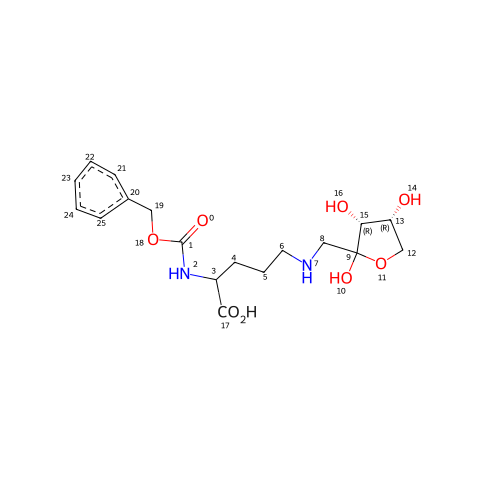 O=C(NC(CCCNCC1(O)OC[C@@H](O)[C@H]1O)C(=O)O)OCc1ccccc1